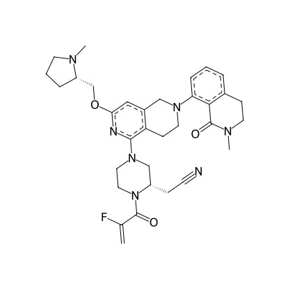 C=C(F)C(=O)N1CCN(c2nc(OC[C@@H]3CCCN3C)cc3c2CCN(c2cccc4c2C(=O)N(C)CC4)C3)C[C@@H]1CC#N